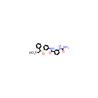 NC(=O)Nc1cccc(C(=O)Nc2cccc([S+]([O-])C(CC(=O)O)c3ccccc3)c2)c1